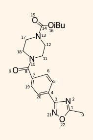 Cc1nc(-c2ccc(C(=O)N3CCN(C(=O)OCC(C)C)CC3)cc2)no1